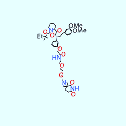 CCC(C)(C)C(=O)C(=O)N1CCCCC1C(=O)C[C@H](CCc1ccc(OC)c(OC)c1)c1cccc(OCC(=O)NCCOCCOCCN2CC3(CCC(=O)NC3=O)C2)c1